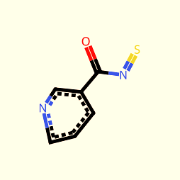 O=C(N=S)c1cccnc1